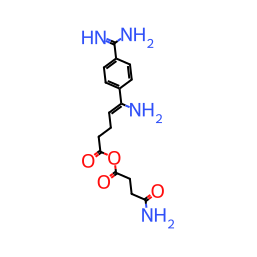 N=C(N)c1ccc(C(N)=CCCC(=O)OC(=O)CCC(N)=O)cc1